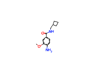 COc1cc(C(=O)NCC2CCC2)ccc1N